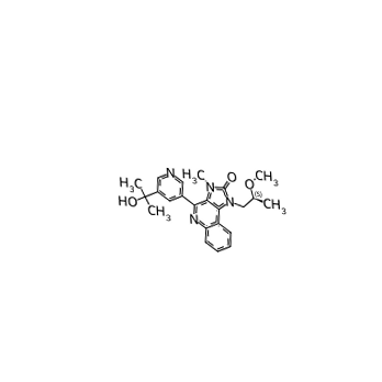 CO[C@@H](C)Cn1c(=O)n(C)c2c(-c3cncc(C(C)(C)O)c3)nc3ccccc3c21